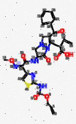 C=CCOC(=O)Nc1nc(/C(=N/OC)C(=O)N[C@H]2CN3CC(C(=O)c4ccccc4)=C(C(C=C)C(=O)O)N3C2=O)cs1